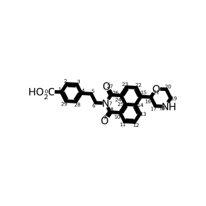 O=C(O)c1ccc(CCN2C(=O)c3cccc4c(C5CNCCO5)ccc(c34)C2=O)cc1